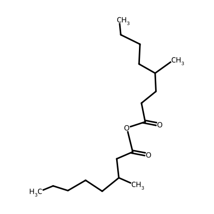 CCCCCC(C)CC(=O)OC(=O)CCC(C)CCCC